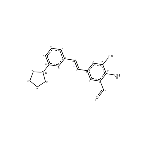 O=Cc1cc(/C=C/c2cccc(N3CCCC3)c2)cc(F)c1O